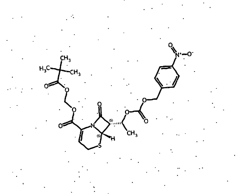 CC(OC(=O)OCc1ccc([N+](=O)[O-])cc1)[C@H]1C(=O)N2C(C(=O)OCOC(=O)C(C)(C)C)=CCS[C@@H]12